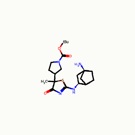 CC(C)(C)OC(=O)N1CCC(C2(C)SC(N[C@H]3C[C@]4(N)CCC3C4)=NC2=O)C1